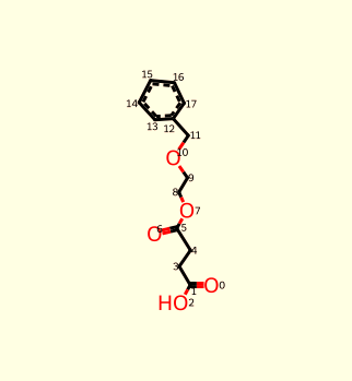 O=C(O)CCC(=O)OCCOCc1ccccc1